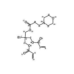 C=CC(=O)OCC(CC)(COC(=O)C=C)COC(=O)CCN1CCOCC1